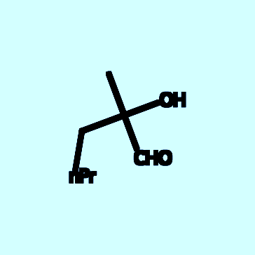 CCCCC(C)(O)C=O